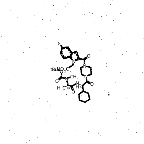 C[C@@H](C(=O)N[C@H](C(=O)N1CCN(C(=O)c2cc3cc(F)ccc3n2CC(=O)O)CC1)C1CCCCC1)N(C)C(=O)OC(C)(C)C